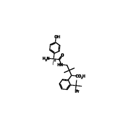 CC(C)C(C)(C)c1ccccc1C(C(=O)O)C(C)(C)CNC(=O)[C@@](C)(N)c1ccc(O)cc1